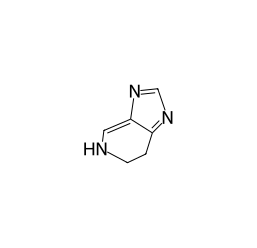 C1=NC2=CNCCC2=N1